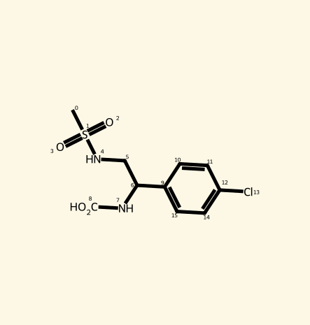 CS(=O)(=O)NCC(NC(=O)O)c1ccc(Cl)cc1